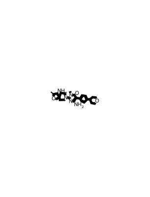 C[C@@H]1OCC2(CCN(c3nc(N)c(-c4ccc(C5CCOCC5)cc4)c(=O)n3C)CC2)[C@@H]1N